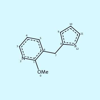 COc1ncccc1Cc1cccs1